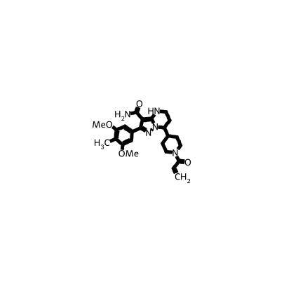 C=CC(=O)N1CCC(C2CCNc3c(C(N)=O)c(-c4cc(OC)c(C)c(OC)c4)nn32)CC1